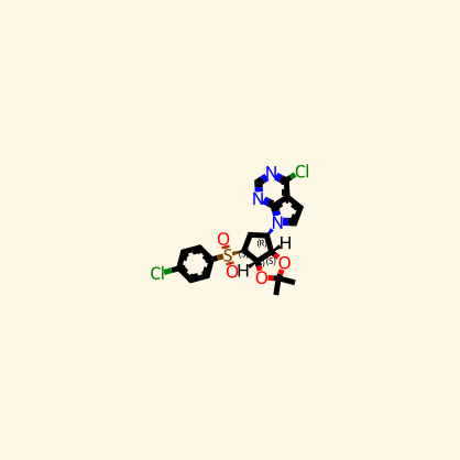 CC1(C)O[C@@H]2[C@H](O1)[C@@H](S(=O)(=O)c1ccc(Cl)cc1)C[C@H]2n1ccc2c(Cl)ncnc21